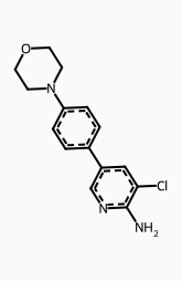 Nc1ncc(-c2ccc(N3CCOCC3)cc2)cc1Cl